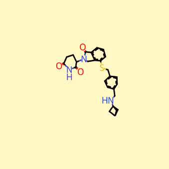 O=C1CCC(N2Cc3c(SCc4ccc(CNC56CC(C5)C6)cc4)cccc3C2=O)C(=O)N1